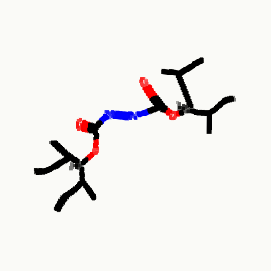 CC(C)[SiH](OC(=O)N=NC(=O)O[SiH](C(C)C)C(C)C)C(C)C